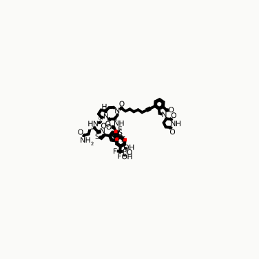 NC(=O)CC[C@H](NC(=O)[C@@H]1CC[C@@H]2CCN(C(=O)CCCCCC#Cc3cccc4c3CN(C3CCC(=O)NC3=O)C4=O)C[C@H](NC(=O)c3cc4cc(C(F)(F)P(=O)(O)O)ccc4s3)C(=O)N21)c1nc(-c2ccc(F)c(F)c2)cs1